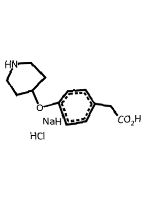 Cl.O=C(O)Cc1ccc(OC2CCNCC2)cc1.[NaH]